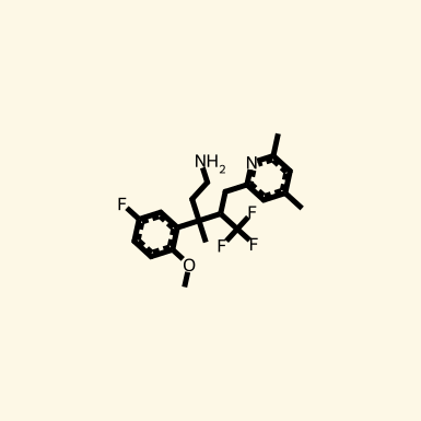 COc1ccc(F)cc1C(C)(CCN)C(Cc1cc(C)cc(C)n1)C(F)(F)F